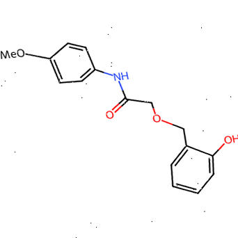 COc1ccc(NC(=O)COCc2ccccc2O)cc1